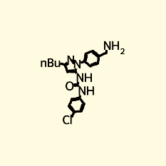 CCCCc1cc(NC(=O)Nc2ccc(Cl)cc2)n(-c2ccc(CN)cc2)n1